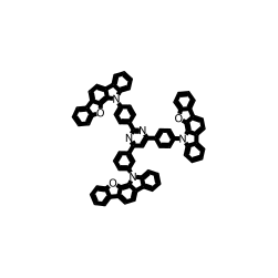 c1cc(-c2cc(-c3ccc(-n4c5ccccc5c5ccc6c7ccccc7oc6c54)cc3)nc(-c3ccc(-n4c5ccccc5c5ccc6c7ccccc7oc6c54)cc3)n2)cc(-n2c3ccccc3c3ccc4c5ccccc5oc4c32)c1